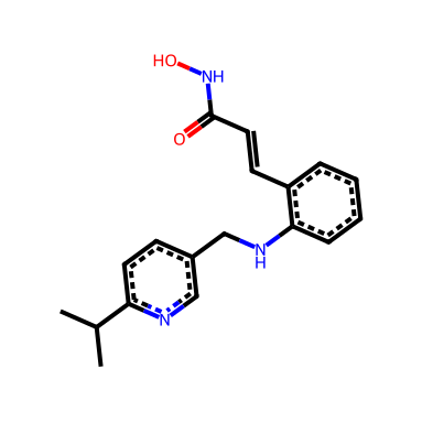 CC(C)c1ccc(CNc2ccccc2/C=C/C(=O)NO)cn1